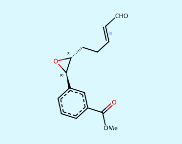 COC(=O)c1cccc([C@H]2O[C@@H]2CC/C=C/C=O)c1